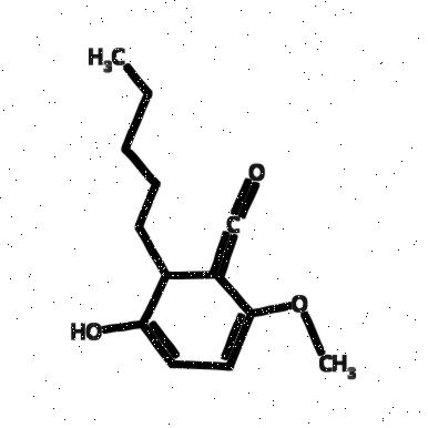 CCCCCC1C(=C=O)C(OC)=CC=C1O